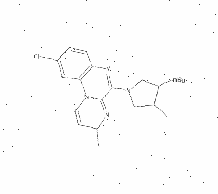 CCCCC1CN(C2=Nc3ccc(Cl)cc3N3C=CC(C)N=C23)CC1C